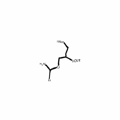 CCCCCCCCCCC(CCCCCCCC)COC(N)CC